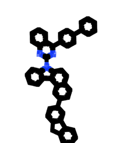 c1ccc(-c2ccc(-c3nc(-n4c5ccccc5c5c6cc(-c7ccc8c(c7)-c7ccccc7C8)ccc6ccc54)nc4ccccc34)cc2)cc1